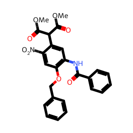 COC(=O)C(C(=O)OC)c1cc(NC(=O)c2ccccc2)c(OCc2ccccc2)cc1[N+](=O)[O-]